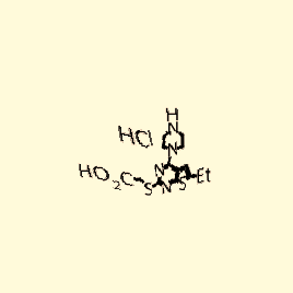 CCc1cc2c(N3CCNCC3)nc(SCC(=O)O)nc2s1.Cl